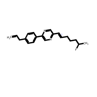 C=CCc1ccc(-c2cnc(/C=C/CCCC(C)F)cn2)cc1